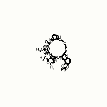 CCC1[C@@H]2CN(C(=O)[C@H](C(C)(C)C)NC(=O)O[C@@H]3CCC[C@H]3CCCCCCc3nc4ccc5c(c4nc3O2)OC(F)(F)O5)[C@@H]1C(C)=O